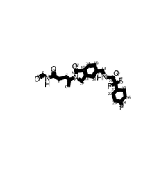 CC(CCC(=O)NC=O)N1Cc2cc(CNC(=O)C(F)(F)C3CCC(F)CC3)ccc2C1=O